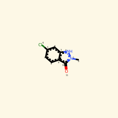 Cn1[nH]c2cc(Cl)ccc2c1=O